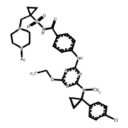 CC(=O)N1CCN(CC2(S(=O)(=O)NC(=O)c3ccc(Nc4nc(OCC(F)(F)F)nc(N(C)C5(c6ccc(Cl)cc6)CC5)n4)cc3)CC2)CC1